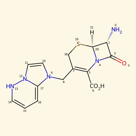 N[C@@H]1C(=O)N2C(C(=O)O)=C(CN3C=CN4NC=CC=C34)CS[C@@H]12